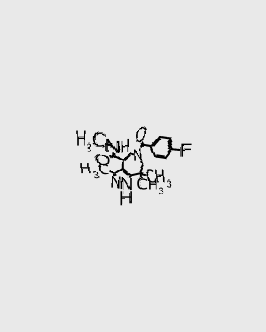 CNC(=O)C1=CN(C(=O)c2ccc(F)cc2)CC(C)(C)c2[nH]nc(C)c21